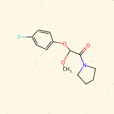 COC(Oc1ccc(F)cc1)C(=O)N1CCCC1